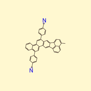 Cc1ccc2c3c(cccc13)-c1cc3c(cc1-2)c(-c1ccc(C#N)cc1)cc1c2ccccc2c(-c2ccc(C#N)cc2)cc31